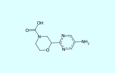 Nc1cnc(C2CN(C(=O)O)CCO2)nc1